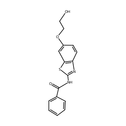 O=C(Nc1nc2ccc(OCCO)cc2s1)c1ccccc1